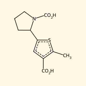 Cc1sc(C2CCCN2C(=O)O)cc1C(=O)O